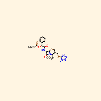 COC(=S)OC(C(=O)N[C@H]1C(=O)N2C(C(=O)O)=C(CSc3nnnn3C)CSC12)c1ccccc1